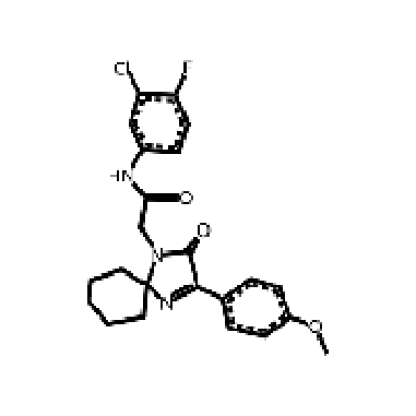 COc1ccc(C2=NC3(CCCCC3)N(CC(=O)Nc3ccc(F)c(Cl)c3)C2=O)cc1